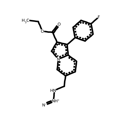 CCOC(=O)c1cn2cc(CN[NH+]=[N-])ccc2c1-c1ccc(F)cc1